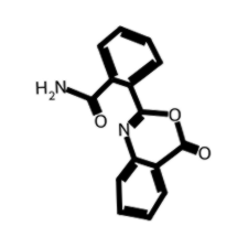 NC(=O)c1ccccc1-c1nc2ccccc2c(=O)o1